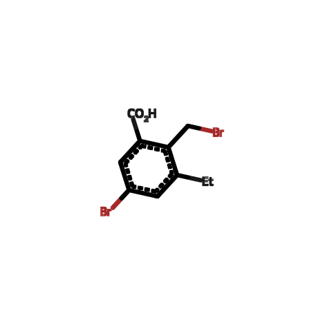 CCc1cc(Br)cc(C(=O)O)c1CBr